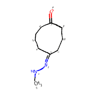 CNN=C1CCCC(=O)CCC1